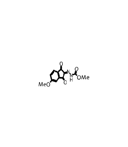 COC(=O)NN=c1c(=O)c2ccc(OC)cc2c1=O